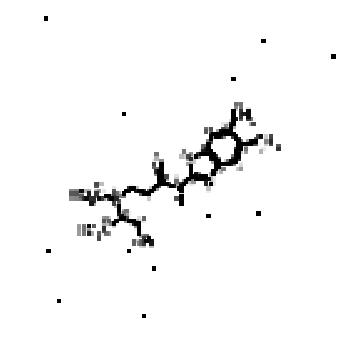 Cc1cc2nc(NC(=O)CCN(C(=O)O)[C@@H](CC(C)C)C(=O)O)sc2cc1C